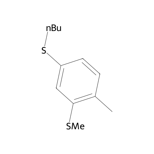 CCCCSc1ccc(C)c(SC)c1